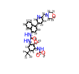 COC(=O)Nc1cc(C(C)(C)C)cc(NC(=O)Nc2ccc(-c3ccc(CN4CCOCC4)nc3)c3ccccc23)c1OC